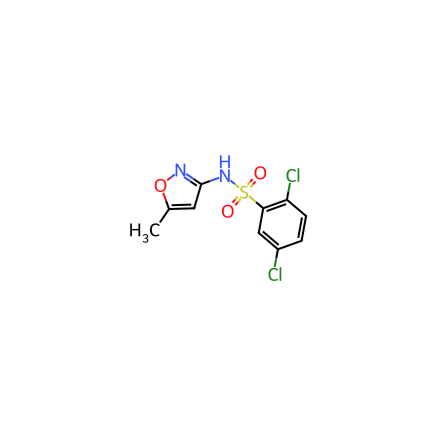 Cc1cc(NS(=O)(=O)c2cc(Cl)ccc2Cl)no1